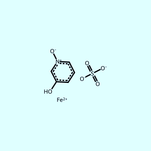 O=S(=O)([O-])[O-].[Fe+2].[O-][n+]1cccc(O)c1